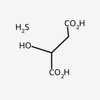 O=C(O)CC(O)C(=O)O.S